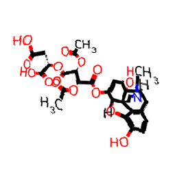 CC(=O)O[C@@H](C(=O)OC1=CC[C@]2(O)[C@@H]3Cc4ccc(O)c5c4[C@]2(CCN3C)[C@@H]1O5)[C@@H](OC(C)=O)C(=O)O[C@@H](CC(=O)O)C(=O)O